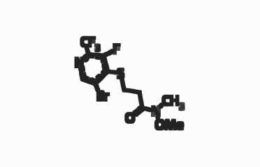 CON(C)C(=O)CCSc1c(Br)cnc(C(F)(F)F)c1F